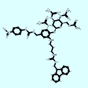 CC(=O)OC[C@H]1O[C@@H](Oc2ccc(COC(=O)Oc3ccc([N+](=O)[O-])cc3)cc2NCCCNC(=O)OCC2c3ccccc3-c3ccccc32)[C@H](OC(C)=O)[C@@H](OC(C)=O)[C@H]1OC(C)=O